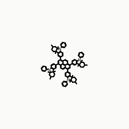 CC1CCC2(C)c3cc(-c4cc(-c5ccc6c(c5)C5(C)CCC(C)CC5(C)N6c5ccccc5)c5ccc6c(-c7ccc8c(c7)C7(C)CCC(C)CC7(C)N8c7ccccc7)cc(-c7ccc8c(c7)C7(C)CCC(C)CC7(C)N8c7ccccc7)c7ccc4c5c76)ccc3N(c3ccccc3)C2(C)C1